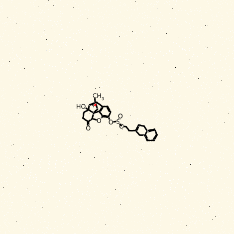 CN1CCC23c4c5ccc(OS(=O)OCCC6=CCc7ccccc7C6)c4OC2C(=O)CCC3(O)C1C5